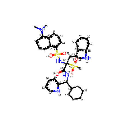 CN(C)c1cccc2c(S(=O)(=O)NC(Cc3c[nH]c4ccccc34)(C(=O)NC(c3ccccn3)C3CCCCC3)S(C)(=O)=O)cccc12